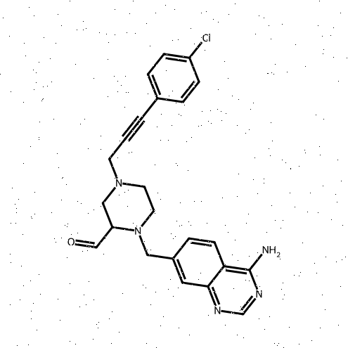 Nc1ncnc2cc(CN3CCN(CC#Cc4ccc(Cl)cc4)CC3C=O)ccc12